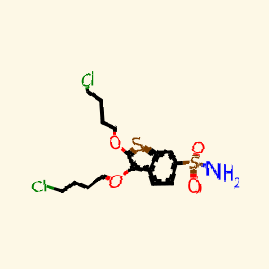 NS(=O)(=O)c1ccc2c(OCCCCCl)c(OCCCCCl)sc2c1